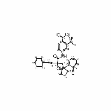 Cc1noc(=O)c2ccc(NC(=O)C(O)(C#Cc3ccccc3)CC3(c4ccccc4Cl)CCCC3)cc12